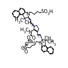 CN(C(=O)OC(C)(C)C)C1=C(/C=C/C2=[N+](CCCCS(=O)(=O)[O-])c3ccc4ccccc4c3C2(C)C)CC/C1=C\C=C1\N(CCCCS(=O)(=O)O)c2ccc3ccccc3c2C1(C)C